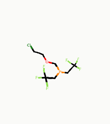 FC(F)(F)CP(COCCCl)CC(F)(F)F